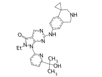 CCn1c(=O)c2cnc(Nc3ccc4c(c3)CNCC43CC3)nc2n1-c1cccc(C(C)(C)O)n1